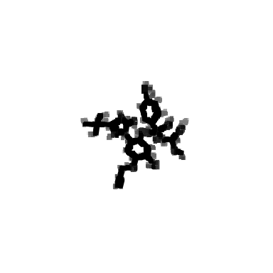 C#CCOc1cc(-n2nc(C(C)(C)C)oc2=O)c(Cl)cc1Cl.COC(=O)NS(=O)(=O)c1ccc(N)cc1